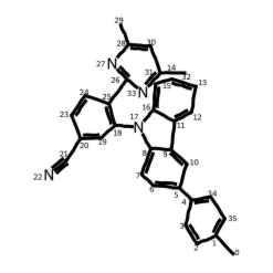 Cc1ccc(-c2ccc3c(c2)c2ccccc2n3-c2cc(C#N)ccc2-c2nc(C)cc(C)n2)cc1